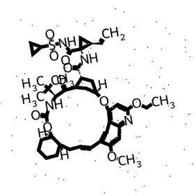 C=C[C@@H]1C[C@]1(NC(=O)[C@@H]1C[C@@H]2CC1C(=O)[C@H](C(C)(C)C)NC(=O)O[C@@H]1CCCC[C@H]1C/C=C/c1cc3c(cc(OCC)nc3cc1OC)O2)C(=O)NS(=O)(=O)C1CC1